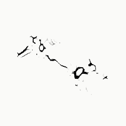 COc1cc(C(=O)N2C=C(C)C[C@H]2CO[Si](C)(C)C(C)(C)C)c(N)cc1OCCCCCOc1cc(OC(N)=O)c(C(=O)N2C=C(C)C[C@H]2CO[Si](C)(C)C(C)(C)C)cc1OC